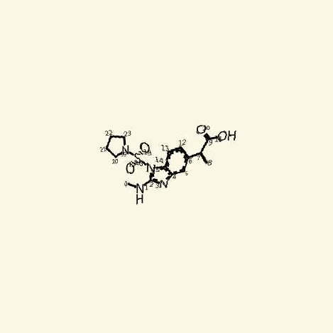 CNc1nc2cc(C(C)C(=O)O)ccc2n1S(=O)(=O)N1CCCC1